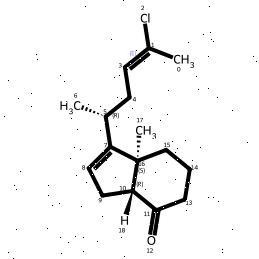 C/C(Cl)=C\C[C@@H](C)C1=CC[C@H]2C(=O)CCC[C@]12C